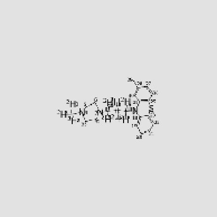 [2H]C([2H])([2H])N1CCN(C([2H])([2H])C([2H])([2H])C([2H])([2H])N2c3ccccc3Sc3ccc(C)cc32)CC1